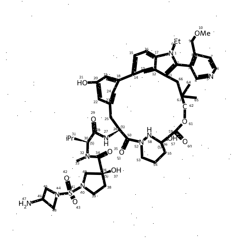 CCn1c(-c2cnccc2COC)c2c3cc(ccc31)-c1cc(O)cc(c1)C[C@H](NC(=O)[C@H](C(C)C)N(C)C(=O)[C@]1(O)CCN(S(=O)(=O)N3CC(N)C3)C1)C(=O)N1CCC[C@@](O)(N1)C(=O)OCC(C)(C)C2